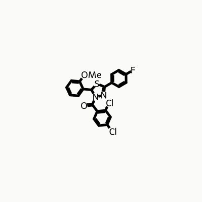 COc1ccccc1C1SC(c2ccc(F)cc2)=NN1C(=O)c1ccc(Cl)cc1Cl